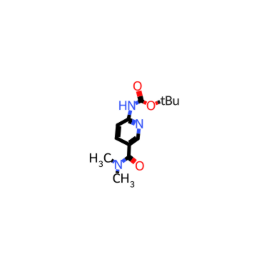 CN(C)C(=O)c1ccc(NC(=O)OC(C)(C)C)nc1